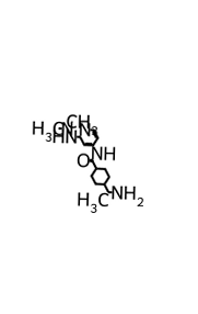 CC(N)C1CCC(C(=O)Nc2ccnc(NN(C)C)c2)CC1